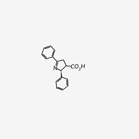 O=C(O)C1CC(c2ccccc2)=N[C@@H]1c1ccccc1